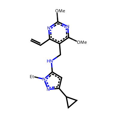 C=Cc1nc(OC)nc(OC)c1CNc1cc(C2CC2)nn1CC